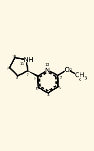 COc1cccc([C@H]2CCCN2)n1